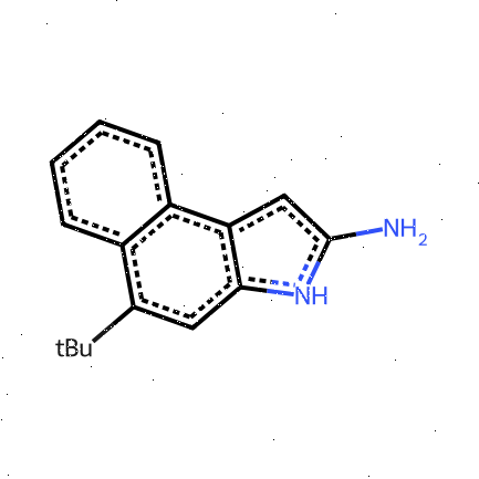 CC(C)(C)c1cc2[nH]c(N)cc2c2ccccc12